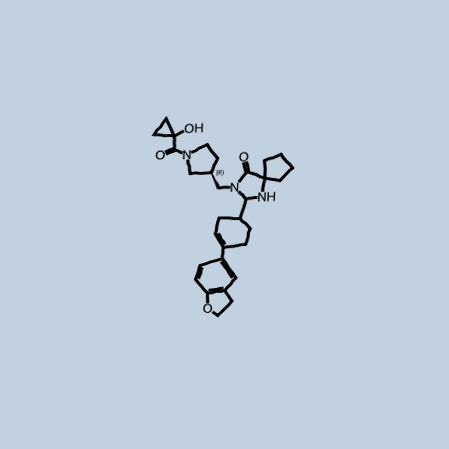 O=C(N1CC[C@@H](CN2C(=O)C3(CCCC3)NC2C2CC=C(c3ccc4c(c3)CCO4)CC2)C1)C1(O)CC1